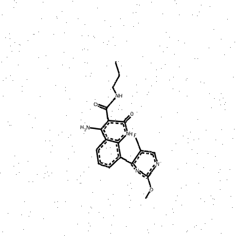 CCCNC(=O)c1c(N)c2cccc(-c3nc(OC)ncc3F)c2[nH]c1=O